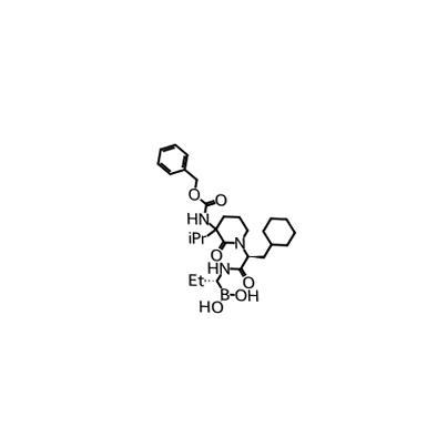 CC[C@H](NC(=O)[C@H](CC1CCCCC1)N1CCCC(NC(=O)OCc2ccccc2)(C(C)C)C1=O)B(O)O